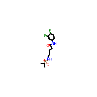 CC(C)S(=O)(=O)NCCCCC(=O)N[C@H]1C=C(F)C(F)CC1